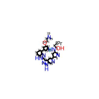 CC(C)CC(O)Nc1cncc(-c2cc3c(-c4nc5c(-c6cc(F)cc(OCCN(C)C)c6)cccc5[nH]4)n[nH]c3cn2)c1